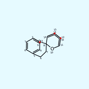 c1cc2ccc1CCC1(O2)Oc2ccc1cc2